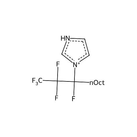 CCCCCCCCC(F)([n+]1cc[nH]c1)C(F)(F)C(F)(F)F